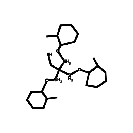 CC1CCCCC1O[SiH2]C(CS)([SiH2]OC1CCCCC1C)[SiH2]OC1CCCCC1C